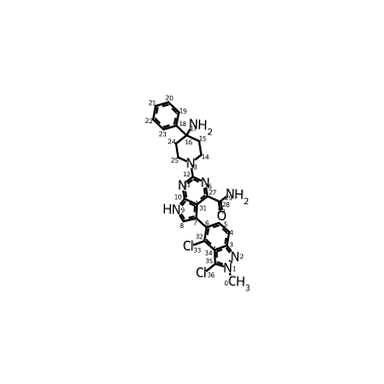 Cn1nc2ccc(-c3c[nH]c4nc(N5CCC(N)(c6ccccc6)CC5)nc(C(N)=O)c34)c(Cl)c2c1Cl